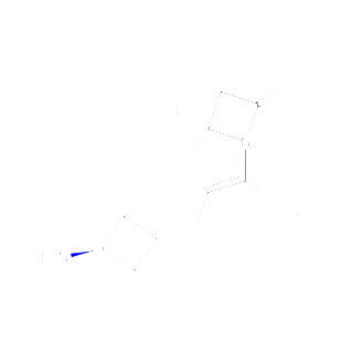 N[C@H]1C[C@H](SC2=C(C(=O)O)N3C(=O)C[C@@H]3S2)C1